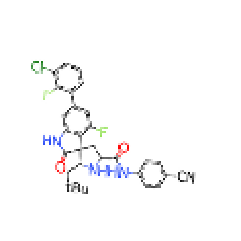 CC(C)(C)CC1NC(C(=O)Nc2ccc(C#N)cc2)CC12C(=O)Nc1cc(-c3cccc(Cl)c3F)cc(F)c12